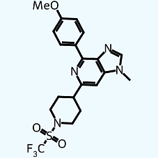 COc1ccc(-c2nc(C3CCN(S(=O)(=O)C(F)(F)F)CC3)cc3c2ncn3C)cc1